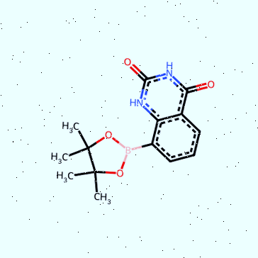 CC1(C)OB(c2cccc3c(=O)[nH]c(=O)[nH]c23)OC1(C)C